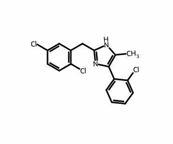 Cc1[nH]c(Cc2cc(Cl)ccc2Cl)nc1-c1ccccc1Cl